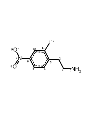 NCCc1ccc([N+](=O)[O-])cc1I